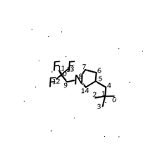 CC(C)(C)CC1CCN(CC(F)(F)F)C1